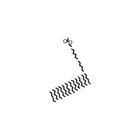 CCCCCC.CCCCCC.CCCCCC.CCCCCC.CCCCCC.CCCCCC.CCCCCC.CCCCCC.CCCCCC.CCCCCC.CCCCCC.CCCCCC.CCCCCC.CCCCCC.CCOC(C)=O